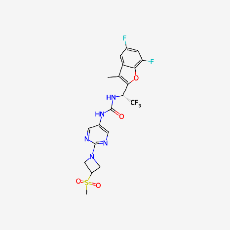 Cc1c([C@@H](NC(=O)Nc2cnc(N3CC(S(C)(=O)=O)C3)nc2)C(F)(F)F)oc2c(F)cc(F)cc12